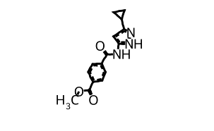 COC(=O)c1ccc(C(=O)Nc2cc(C3CC3)n[nH]2)cc1